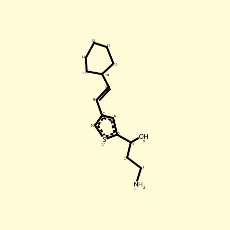 NCCC(O)c1cc(C=CC2CCCCC2)cs1